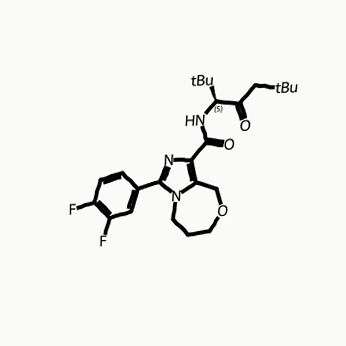 CC(C)(C)CC(=O)[C@@H](NC(=O)c1nc(-c2ccc(F)c(F)c2)n2c1COCCC2)C(C)(C)C